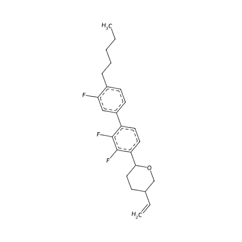 C=CC1CCC(c2ccc(-c3ccc(CCCCC)c(F)c3)c(F)c2F)OC1